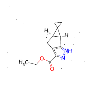 CCOC(=O)c1n[nH]c2c1C[C@@H]1[C@H]2C12CC2